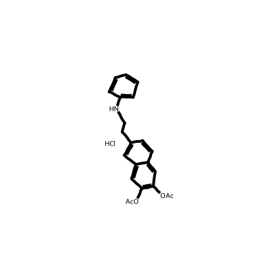 CC(=O)Oc1cc2ccc(CCNc3ccccc3)cc2cc1OC(C)=O.Cl